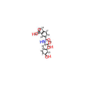 O=C(NC(Cc1ccc(O)cc1)C(=O)O)c1ccc2c(c1)B(O)OC2